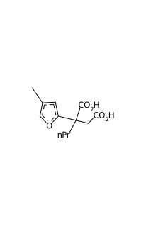 CCCC(CC(=O)O)(C(=O)O)c1cc(C)co1